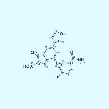 NC(=O)c1ccc(F)cc1.O=C(O)c1nc2c(C(F)(F)F)cc(-c3ccoc3)cn2c1Cl